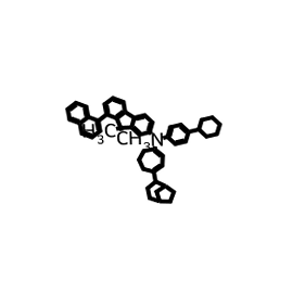 CC1(C)c2cc(N(C3=CC=C(C4CCC5CCC4C5)CCC3)c3ccc(C4CCCCC4)cc3)ccc2-c2cccc(-c3cccc4ccccc34)c21